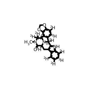 [2H]c1c([2H])c([C@]2([2H])c3[nH]c4c([2H])c([2H])c([2H])c([2H])c4c3C[C@]3([2H])C(=O)N(C)C([2H])([2H])C(=O)N23)c([2H])c2c1OCO2